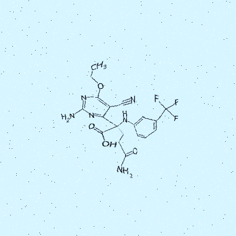 CCOc1nc(N)nc([C@@](CCC(N)=O)(Nc2cccc(C(F)(F)F)c2)C(=O)O)c1C#N